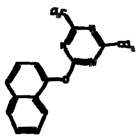 ClC(Cl)(Cl)c1nc(Oc2cccc3ccccc23)nc(C(Cl)(Cl)Cl)n1